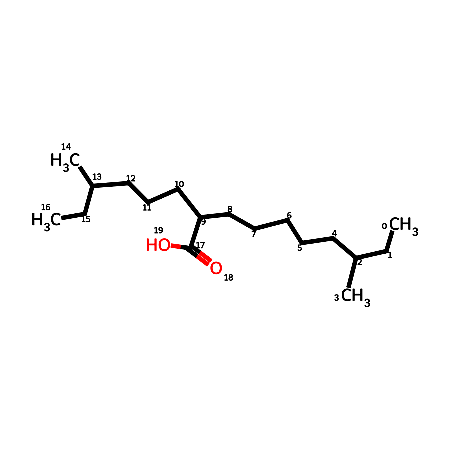 CCC(C)CCCCCC(CCCC(C)CC)C(=O)O